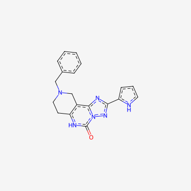 O=c1[nH]c2c(c3nc(-c4ccc[nH]4)nn13)CN(Cc1ccccc1)CC2